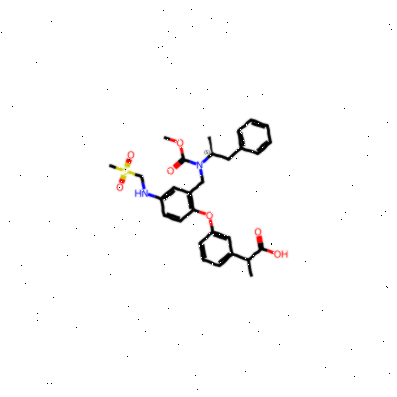 COC(=O)N(Cc1cc(NCS(C)(=O)=O)ccc1Oc1cccc(C(C)C(=O)O)c1)[C@@H](C)Cc1ccccc1